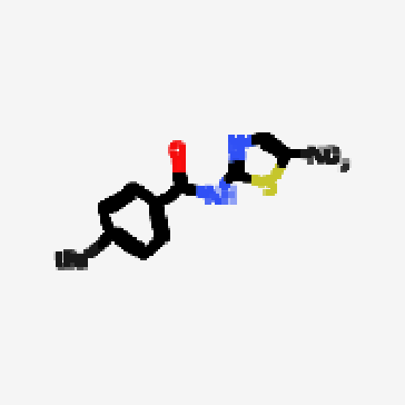 CC(C)(C)c1ccc(C(=O)Nc2ncc([N+](=O)[O-])s2)cc1